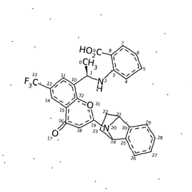 C[C@@H](Nc1ccccc1C(=O)O)c1cc(C(F)(F)F)cc2c(=O)cc(N3C4CCC3c3ccccc34)oc12